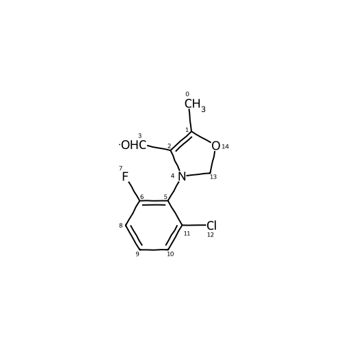 CC1=C([C]=O)N(c2c(F)cccc2Cl)CO1